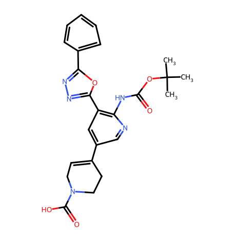 CC(C)(C)OC(=O)Nc1ncc(C2=CCN(C(=O)O)CC2)cc1-c1nnc(-c2ccccc2)o1